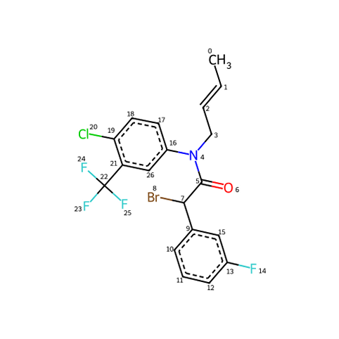 CC=CCN(C(=O)C(Br)c1cccc(F)c1)c1ccc(Cl)c(C(F)(F)F)c1